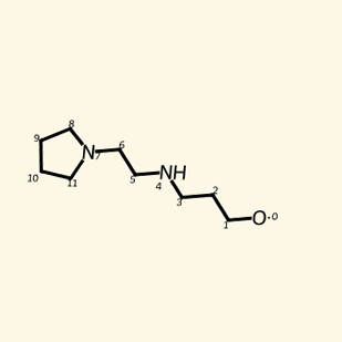 [O]CCCNCCN1CCCC1